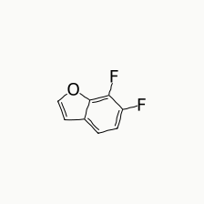 Fc1ccc2ccoc2c1F